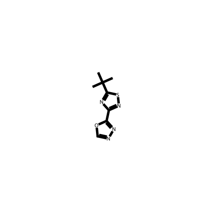 CC(C)(C)c1nc(-c2nnco2)ns1